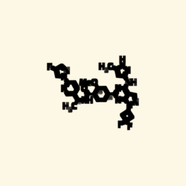 CO[C@H]1C[C@@H](c2nc(Nc3cc(C)[nH]n3)c3cnn(C4CC(F)(F)C4)c3n2)CC[C@@H]1C(=O)N[C@@H](C)c1ccc(-n2cc(F)cn2)nc1